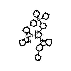 c1ccc(-c2ccc3c(c2)c2ccccc2n3-c2cc(-c3cccc([Si](c4ccccc4)(c4ccccc4)c4ccccc4)c3)nc(-n3c4ccccc4n4c5ccccc5nc34)n2)cc1